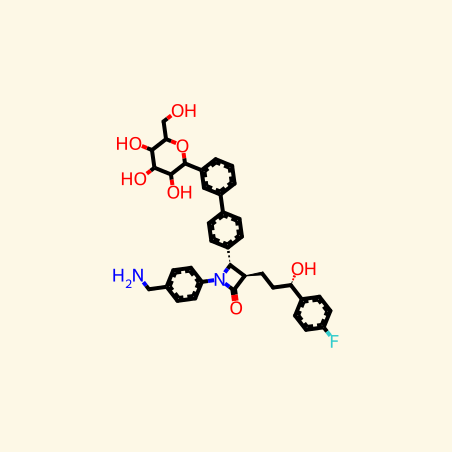 NCc1ccc(N2C(=O)[C@H](CC[C@H](O)c3ccc(F)cc3)[C@H]2c2ccc(-c3cccc(C4OC(CO)C(O)C(O)C4O)c3)cc2)cc1